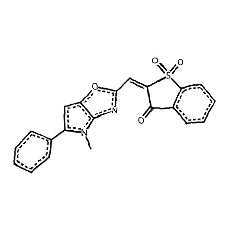 Cn1c(-c2ccccc2)cc2oc(/C=C3\C(=O)c4ccccc4S3(=O)=O)nc21